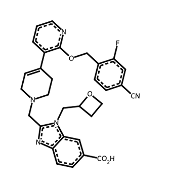 N#Cc1ccc(COc2ncccc2C2=CCN(Cc3nc4ccc(C(=O)O)cc4n3CC3CCO3)CC2)c(F)c1